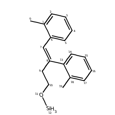 Cc1ccccc1C=C(CCO[SiH3])c1ccccc1C